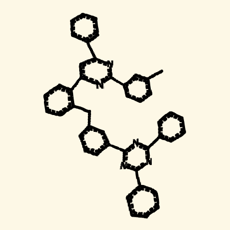 Cc1cccc(-c2nc(-c3ccccc3)cc(-c3ccccc3Cc3cccc(-c4nc(-c5ccccc5)nc(-c5ccccc5)n4)c3)n2)c1